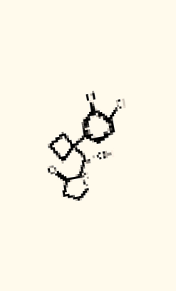 O=C1CCC[C@H]1[C@@H](O)C1(c2ccc(Cl)c(Cl)c2)CCC1